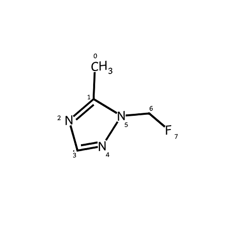 Cc1n[c]nn1CF